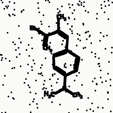 C=C(CC)/C(C)=C\c1ccc(N(C)C)cc1